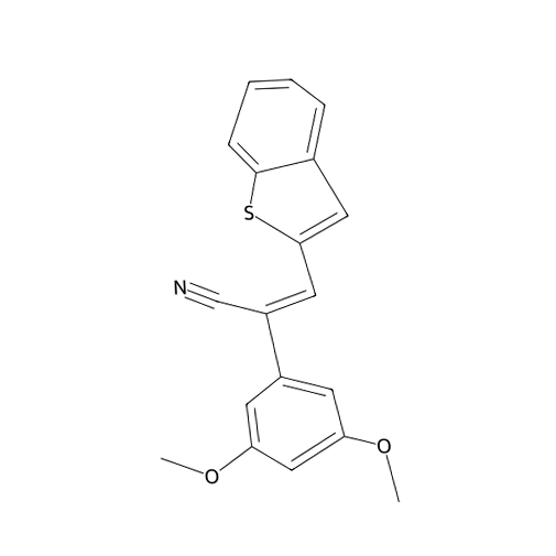 COc1cc(OC)cc(C(C#N)=Cc2cc3ccccc3s2)c1